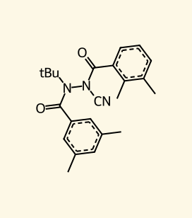 Cc1cc(C)cc(C(=O)N(N(C#N)C(=O)c2cccc(C)c2C)C(C)(C)C)c1